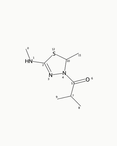 CNC1=NN(C(=O)C(C)C)C(C)S1